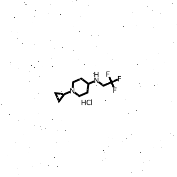 Cl.FC(F)(F)CNC1CCN(C2CC2)CC1